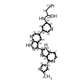 Cc1cn(-c2nccc3[nH]c(-c4n[nH]c5ncc(-c6cncc(NC(O)CC(C)C)c6)cc45)nc23)cn1